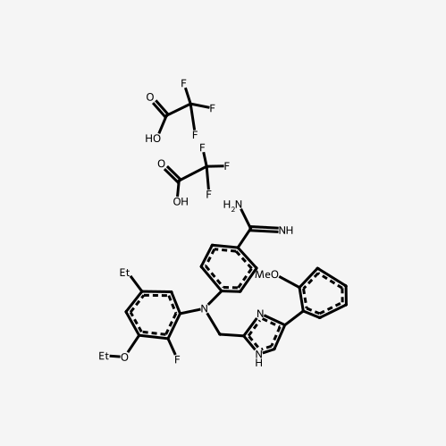 CCOc1cc(CC)cc(N(Cc2nc(-c3ccccc3OC)c[nH]2)c2ccc(C(=N)N)cc2)c1F.O=C(O)C(F)(F)F.O=C(O)C(F)(F)F